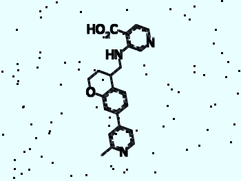 Cc1cc(-c2ccc3c(c2)OCCC3CNc2cnccc2C(=O)O)ccn1